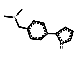 CN(C)Cc1ccc(-c2ccc[nH]2)cc1